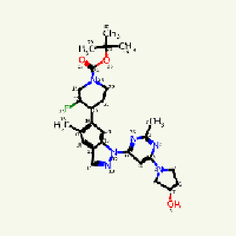 Cc1nc(N2CC[C@@H](O)C2)cc(-n2ncc3cc(C)c(C4CCN(C(=O)OC(C)(C)C)CC4F)cc32)n1